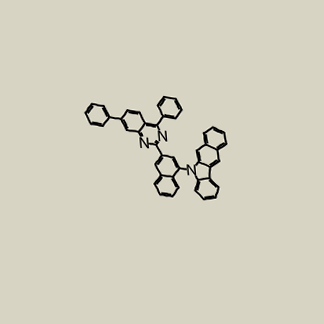 c1ccc(-c2ccc3c(-c4ccccc4)nc(-c4cc(-n5c6ccccc6c6cc7ccccc7cc65)c5ccccc5c4)nc3c2)cc1